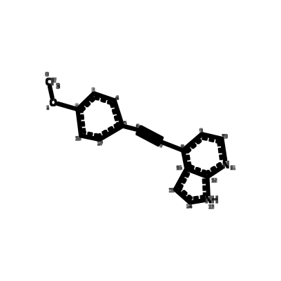 FC(F)(F)Oc1ccc(C#Cc2ccnc3[nH]ccc23)cc1